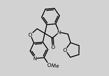 COc1cc2c(cn1)OCC21C(=O)N(CC2CCCO2)c2ccccc21